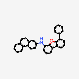 c1ccc(-c2cccc3c2oc2c(Nc4ccc5c(ccc6ccccc65)c4)cccc23)cc1